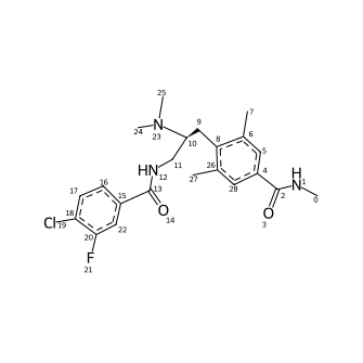 CNC(=O)c1cc(C)c(C[C@@H](CNC(=O)c2ccc(Cl)c(F)c2)N(C)C)c(C)c1